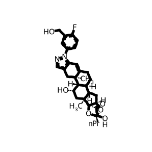 CCC[C@@H]1O[C@@H]2C[C@H]3[C@@H]4CCC5=Cc6c(cnn6-c6ccc(F)c(CO)c6)C[C@]5(C)[C@H]4[C@@H](O)C[C@]3(C)[C@]2(C(=O)CO)O1